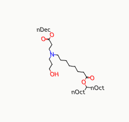 CCCCCCCCCCOC(=O)CCN(CCCO)CCCCCCCC(=O)OC(CCCCCCCC)CCCCCCCC